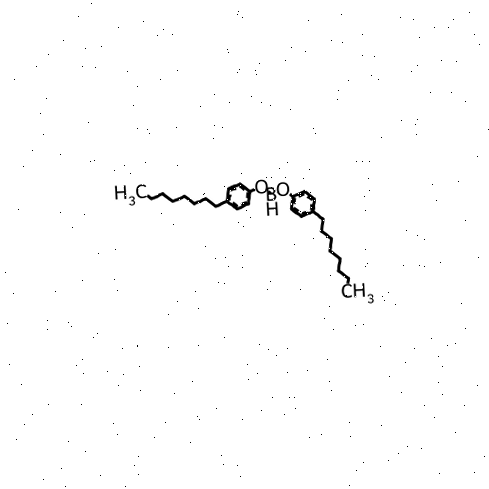 CCCCCCCCc1ccc(OBOc2ccc(CCCCCCCC)cc2)cc1